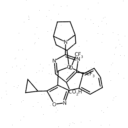 O=C(O)c1cnc(N2C3CCC2CC(OCc2c(-c4ccccc4OC(F)(F)F)noc2C2CC2)C3)nc1C(F)(F)F